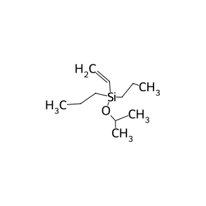 C=C[Si](CCC)(CCC)OC(C)C